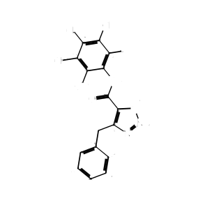 O=C(Oc1c(Cl)c(Cl)c(Cl)c(Cl)c1Cl)c1snnc1Cc1ccccc1